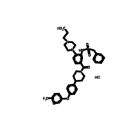 Cl.O=C(O)CCN1CCN(c2ccc(C(=O)N3CCC(c4ccc(Oc5ccc(C(F)(F)F)nc5)cc4)CC3)cc2NS(=O)(=O)Cc2ccccc2)CC1